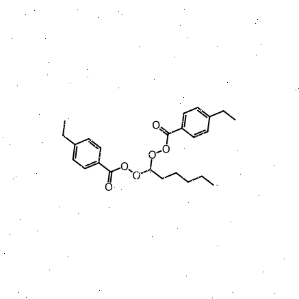 [CH2]CCCC[C](OOC(=O)c1ccc(CC)cc1)OOC(=O)c1ccc(CC)cc1